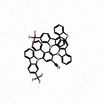 N#Cc1cc(-n2c3ccccc3c3ccc(C(F)(F)F)cc32)c(-c2ccccc2)c(-n2c3ccccc3c3ccc(C(F)(F)F)cc32)c1-n1c2ccccc2c2cc3sc4ccccc4c3cc21